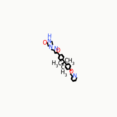 CC(C)C(C)(c1ccc(OCc2ccccn2)cc1)c1ccc(-c2cc(CN3CCNC(=O)C3)no2)cc1